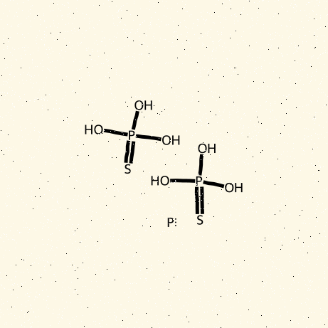 OP(O)(O)=S.OP(O)(O)=S.[P]